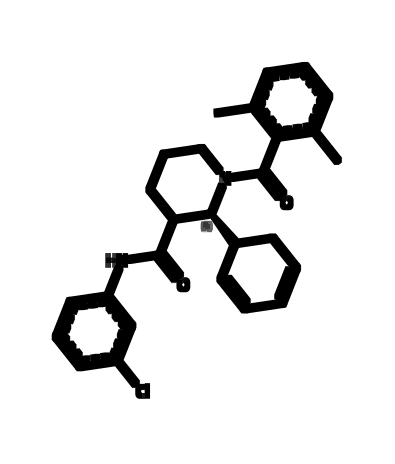 Cc1cccc(C)c1C(=O)N1CCCC(C(=O)Nc2cccc(Cl)c2)[C@@H]1C1C=CC=CC1